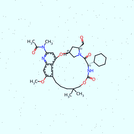 COc1cc2nc(N(C)C(C)=O)cc3c2cc1CCCC(C)(C)COC(=O)N[C@@H](C1CCCCC1)C(=O)N1C[C@@H](C[C@H]1C=O)O3